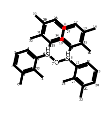 Cc1cccc([SiH](O[SiH](c2cccc(C)c2C)c2cccc(C)c2C)c2cccc(C)c2C)c1C